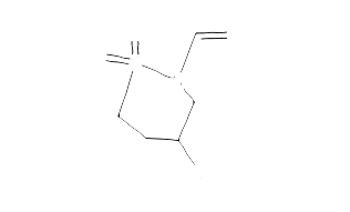 C=CN1CC(C)CCS1(=O)=O